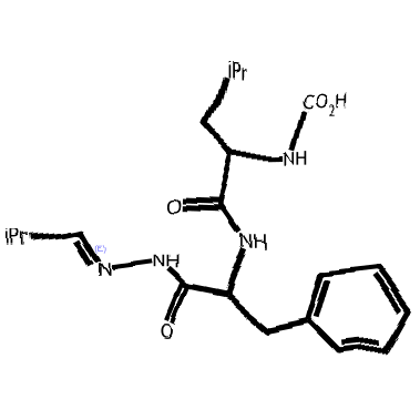 CC(C)/C=N/NC(=O)C(Cc1ccccc1)NC(=O)C(CC(C)C)NC(=O)O